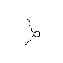 c1ccc(OCC2CO2)c(COCC2CO2)c1